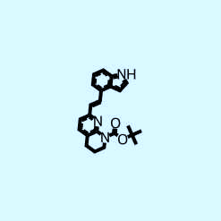 CC(C)(C)OC(=O)N1CCCc2ccc(C=Cc3cccc4[nH]ccc34)nc21